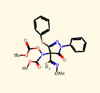 CON=C(C)C1(N(OC(=O)OC(C)(C)C)C(=O)OC(C)(C)C)C(=O)N(c2ccccc2)N=C1Sc1ccccc1